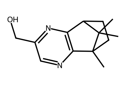 CC12CCC(c3nc(CO)cnc31)C2(C)C